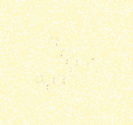 Cc1csc(NC(=O)c2cc(Oc3ccc(C(=O)N4CCC4)cc3F)cc(O[C@@H](C)CO)c2)n1